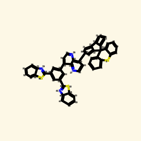 c1ccc2c(c1)Sc1ccccc1C21c2ccccc2-c2ccc(-c3ccnc4c(-c5cc(-c6nc7ccccc7s6)cc(-c6nc7ccccc7s6)c5)ccnc34)cc21